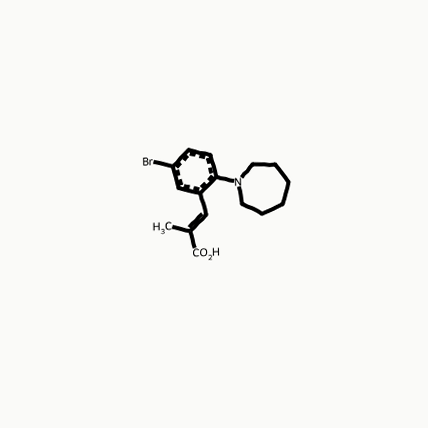 CC(=Cc1cc(Br)ccc1N1CCCCCC1)C(=O)O